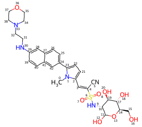 Cn1c(/C=C(\C#N)S(=O)(=O)N[C@H]2C(O)O[C@H](CO)[C@@H](O)[C@@H]2O)ccc1-c1ccc2cc(NCCN3CCOCC3)ccc2c1